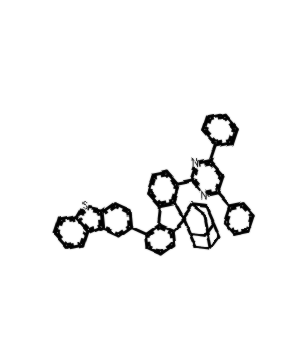 c1ccc(-c2cc(-c3ccccc3)nc(-c3cccc4c3C3(c5cccc(-c6ccc7sc8ccccc8c7c6)c5-4)C4CC5CC(C4)CC3C5)n2)cc1